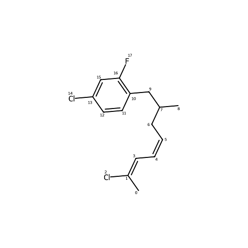 C/C(Cl)=C\C=C/CC(C)Cc1ccc(Cl)cc1F